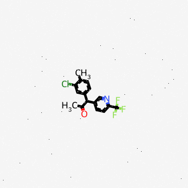 CC(=O)C(c1ccc(C(F)(F)F)nc1)c1ccc(C)c(Cl)c1